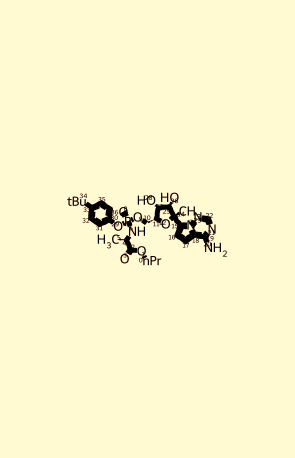 CCCOC(=O)[C@H](C)NP(=O)(OC[C@H]1O[C@@](C)(c2ccc3c(N)ncnn23)[C@H](O)[C@@H]1O)Oc1ccc(C(C)(C)C)cc1